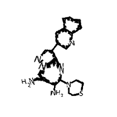 Nc1c(N2CCSCC2)nc2c(-c3cnc4ccccc4c3)cnn2c1N